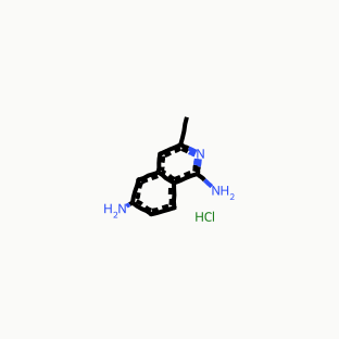 Cc1cc2cc(N)ccc2c(N)n1.Cl